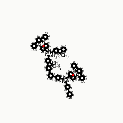 CC1(C)c2ccccc2-c2ccc(-c3nc(-c4ccc(-n5c6ccccc6c6ccc7c8ccccc8n(-c8ccccc8)c7c65)cc4)nc(-c4ccc5c(c4)C(C)(C)c4cc(-c6cccc(-c7ccc(-c8nc(-c9ccc(-c%10ccccc%10)cc9)nc(-c9ccc(-n%10c%11ccccc%11c%11ccc%12c%13ccccc%13n(-c%13ccccc%13)c%12c%11%10)cc9)n8)cc7)c6)ccc4-5)n3)cc21